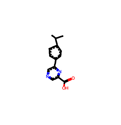 CC(C)c1ccc(-c2cncc(C(=O)O)n2)cc1